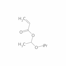 C=CC(=O)OC(C)OC(C)C